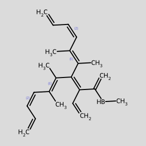 C=C/C=C\C(C)=C(/C)C(=C(C=C)C(=C)BC)/C(C)=C(C)/C=C\C=C